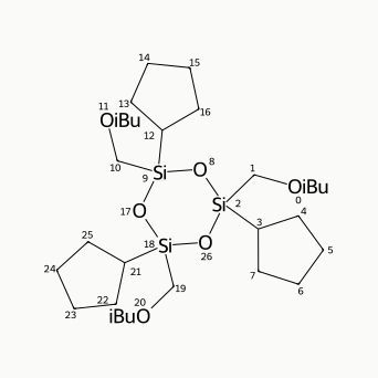 CC(C)COC[Si]1(C2CCCC2)O[Si](COCC(C)C)(C2CCCC2)O[Si](COCC(C)C)(C2CCCC2)O1